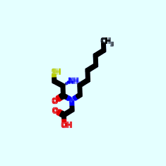 CCCCCCCCN(CC(=O)O)C(=O)[C@@H](N)CS